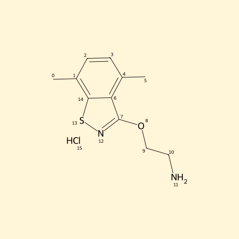 Cc1ccc(C)c2c(OCCN)nsc12.Cl